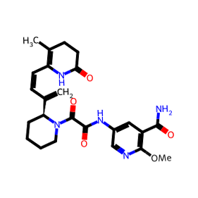 C=C(/C=C\C1=C(C)CCC(=O)N1)[C@@H]1CCCCN1C(=O)C(=O)Nc1cnc(OC)c(C(N)=O)c1